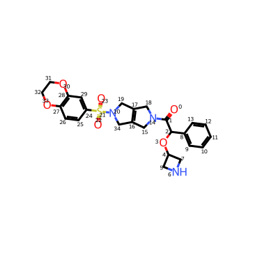 O=C(C(OC1CNC1)c1ccccc1)N1CC2=C(C1)CN(S(=O)(=O)c1ccc3c(c1)OCCO3)C2